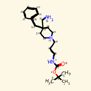 CC(C)(C)OC(=O)NCCCN1CCC(CN)(Cc2ccccc2)CC1